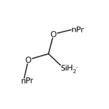 CCCOC([SiH2])OCCC